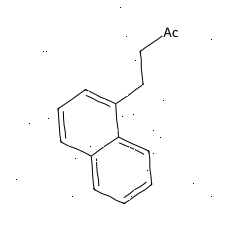 CC(=O)CCc1cccc2ccccc12